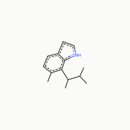 Cc1ccc2cc[nH]c2c1C(C)C(C)C